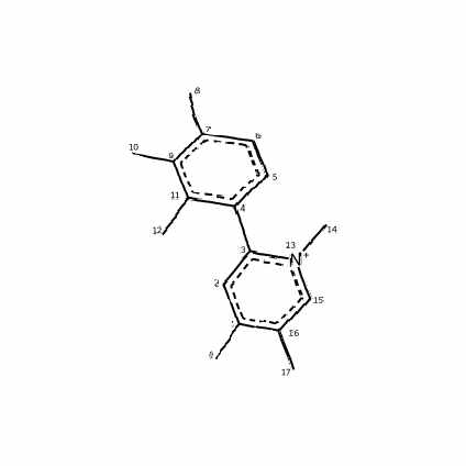 Cc1cc(-c2ccc(C)c(C)c2C)[n+](C)cc1C